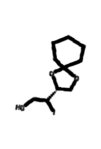 OCC(I)[C@H]1COC2(CCCCC2)O1